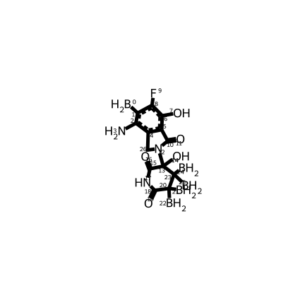 Bc1c(N)c2c(c(O)c1F)C(=O)N(C1(O)C(=O)NC(=O)C(B)(B)C1(B)B)C2